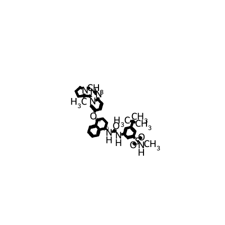 CNS(=O)(=O)c1cc(NC(=O)N[C@H]2CC[C@@H](Oc3ccc4nnc(C5(C)CCCN5C)n4c3)c3ccccc32)cc(C(C)(C)C)c1